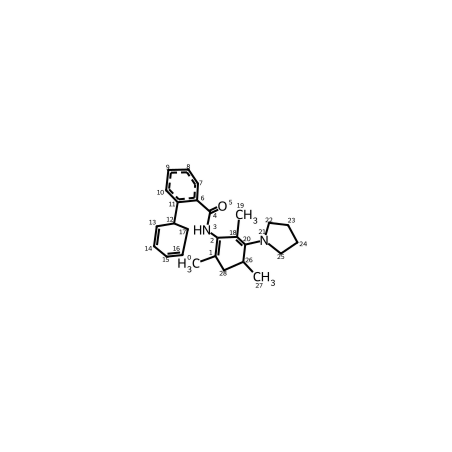 CC1=C(NC(=O)c2ccccc2C2C=CC=CC2)C(C)=C(N2CCCC2)C(C)C1